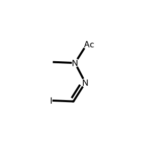 CC(=O)N(C)/N=C\I